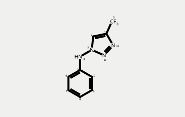 FC(F)(F)c1cn(Nc2ccccc2)nn1